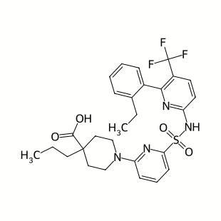 CCCC1(C(=O)O)CCN(c2cccc(S(=O)(=O)Nc3ccc(C(F)(F)F)c(-c4ccccc4CC)n3)n2)CC1